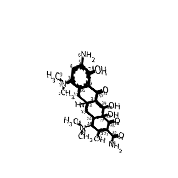 CN(C)c1cc(N)c(O)c2c1C[C@H]1CC3[C@H](N(C)C)C(O)=C(C(N)=O)C(=O)C3(O)C(O)=C1C2=O